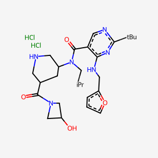 CC(C)CN(C(=O)c1cnc(C(C)(C)C)nc1NCc1ccco1)C1CNCC(C(=O)N2CC(O)C2)C1.Cl.Cl